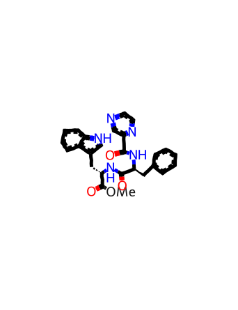 COC(=O)[C@H](Cc1c[nH]c2ccccc12)NC(=O)[C@H](Cc1ccccc1)NC(=O)c1cnccn1